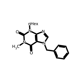 CCCCCCn1c(=O)n(C)c(=O)c2c1ncn2Cc1ccccc1